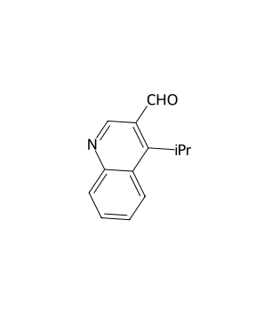 CC(C)c1c(C=O)cnc2ccccc12